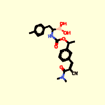 Cc1ccc(CC(NC(=O)OC(C)c2cccc(C=C(C#N)C(=O)N(C)C)c2)B(O)O)cc1